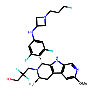 COc1cc2c3c([nH]c2cn1)[C@@H](c1c(F)cc(NC2CN(CCCF)C2)cc1F)N(CC(F)(F)CO)[C@H](C)C3